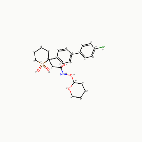 O=C(CC1(c2ccc(-c3ccc(Br)cc3)cc2)CCCCS1(=O)=O)NOC1CCCCO1